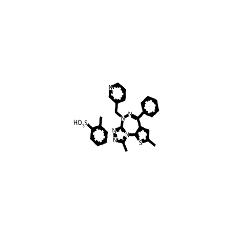 Cc1cc2c(s1)-n1c(C)nnc1N(Cc1cccnc1)N=C2c1ccccc1.Cc1ccccc1S(=O)(=O)O